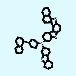 c1ccc2c(-c3ccc(N(c4ccc5c(c4)sc4ccccc45)c4ccc5c(c4)sc4ccc6sc7c8ccccc8ccc7c6c45)cc3)cccc2c1